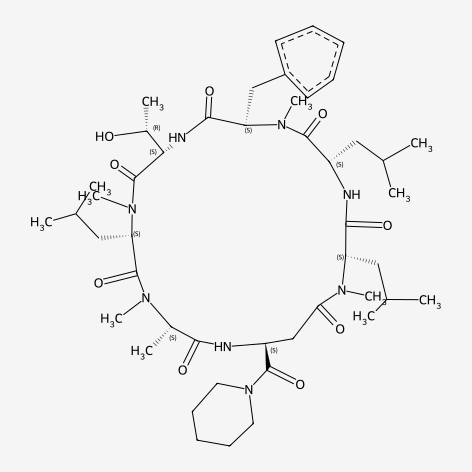 CC(C)C[C@@H]1NC(=O)[C@H](CC(C)C)N(C)C(=O)C[C@@H](C(=O)N2CCCCC2)NC(=O)[C@H](C)N(C)C(=O)[C@H](CC(C)C)N(C)C(=O)[C@H]([C@@H](C)O)NC(=O)[C@H](Cc2ccccc2)N(C)C1=O